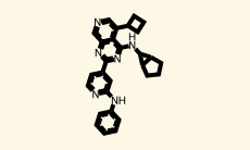 c1ccc(Nc2cc(-c3nc(NC4C5CCCC54)c4c(C5CCC5)cncc4n3)ccn2)cc1